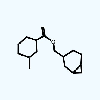 C=C(OCC1CCC2CC2C1)C1CCCC(C)C1